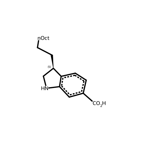 CCCCCCCCCC[C@@H]1CNc2cc(C(=O)O)ccc21